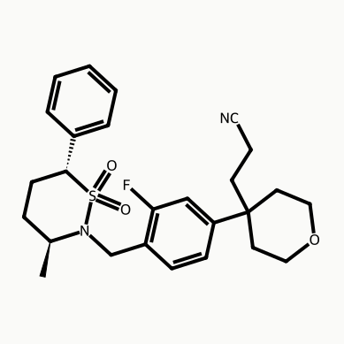 C[C@H]1CC[C@H](c2ccccc2)S(=O)(=O)N1Cc1ccc(C2(CCC#N)CCOCC2)cc1F